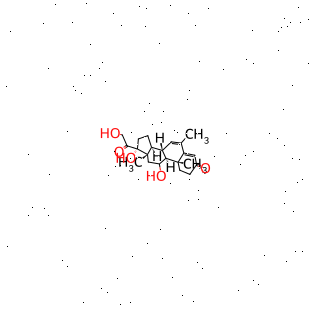 CC1=C[C@@H]2[C@H](C(O)C[C@@]3(C)[C@H]2CC[C@]3(O)C(=O)CO)[C@@]2(C)CCC(=O)C=C12